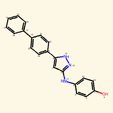 Oc1ccc(Nc2cc(-c3ccc(-c4ccccc4)cc3)[nH]n2)cc1